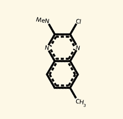 CNc1nc2ccc(C)cc2nc1Cl